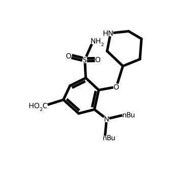 CCCCN(CCCC)c1cc(C(=O)O)cc(S(N)(=O)=O)c1OC1CCCNC1